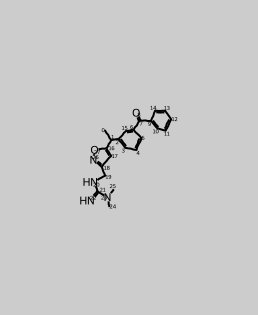 CC(c1cccc(C(=O)c2ccccc2)c1)c1cc(CNC(=N)N(C)C)no1